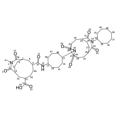 CN1C(=O)C2CCC(CC(C(=O)NC3CCCC(N4C(=O)C5CCC(CC6CCC(C5)C(=O)N(C5CCCCCCC5)C6=O)C4=O)CCC3)CCC(C(=O)O)C2)C1=O